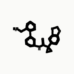 NCc1ccccc1-c1cccc(NC(=O)C2(c3ccc4c(c3)OCO4)CC2)c1